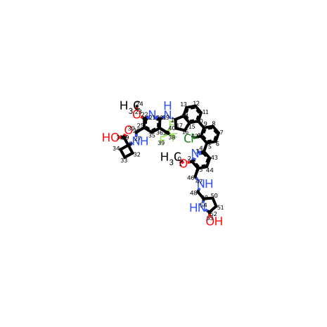 COc1nc(-c2cccc(-c3cccc4c3CC[C@@H]4Nc3nc(OC)c(CNC4(C(=O)O)CCC4)cc3C(F)(F)F)c2Cl)ccc1CNCC1CCC(O)N1